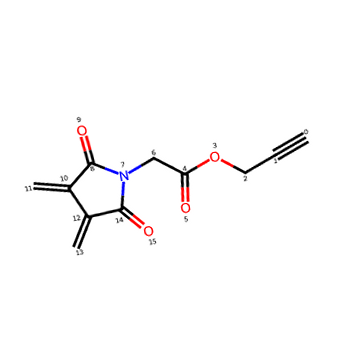 C#CCOC(=O)CN1C(=O)C(=C)C(=C)C1=O